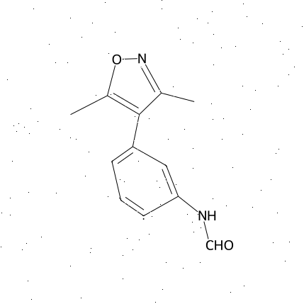 Cc1noc(C)c1-c1cc[c]c(NC=O)c1